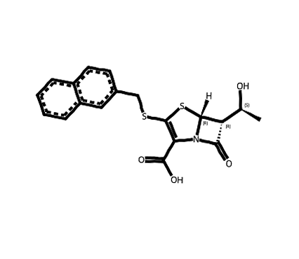 C[C@H](O)[C@@H]1C(=O)N2C(C(=O)O)=C(SCc3ccc4ccccc4c3)S[C@H]12